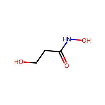 O=C(CCO)NO